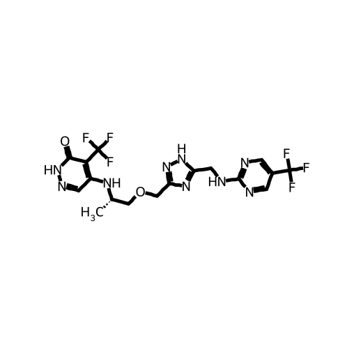 C[C@@H](COCc1n[nH]c(CNc2ncc(C(F)(F)F)cn2)n1)Nc1cn[nH]c(=O)c1C(F)(F)F